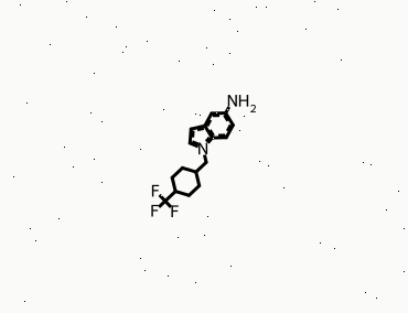 Nc1ccc2c(ccn2CC2CCC(C(F)(F)F)CC2)c1